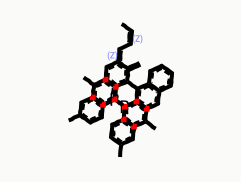 C=c1c(-c2c(P(c3ccc(C)cc3)c3ccc(C)cc3)ccc3ccccc23)c(P(c2ccc(C)cc2)c2ccc(C)cc2)cc/c1=C/C=C\C